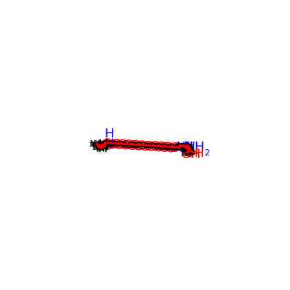 CCCCc1nc2c(N)nc3cc(CCCN4CCN(CCCOCCOCCOCCOCCOCCOCCOCCOCCOCCOCCOCCOCCOCCOCCOCCOCCOCCOCCOCCOCCNC(=O)O[C@H]5CC[C@@]6(C)C(=CC[C@H]7[C@@H]8CC[C@H]([C@H](C)CCCC(C)C)[C@@]8(C)CC[C@@H]76)C5)CC4)ccc3c2n1CC(C)(CO)CO